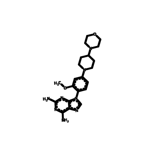 COc1cc(N2CCC(N3CCOCC3)CC2)ccc1-n1cnc2c(N)nc(N)nc21